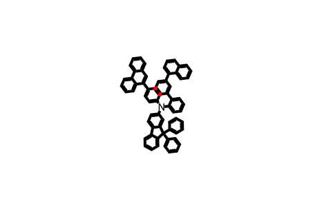 c1ccc(C2(c3ccccc3)c3ccccc3-c3ccc(N(c4ccc(-c5cc6ccccc6c6ccccc56)cc4)c4ccccc4-c4cccc(-c5cccc6ccccc56)c4)cc32)cc1